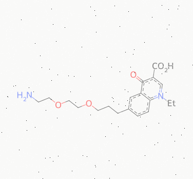 CCn1cc(C(=O)O)c(=O)c2cc(CCCOCCOCCN)ccc21